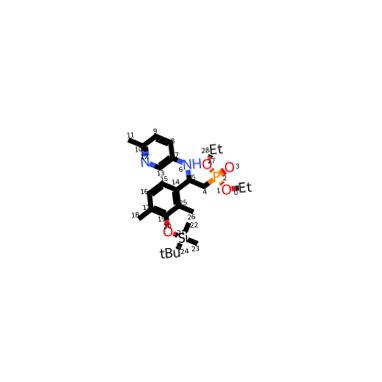 CCOP(=O)(CC(Nc1ccc(C)nc1)c1ccc(C)c(O[Si](C)(C)C(C)(C)C)c1C)OCC